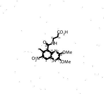 COc1nc2cc([N+](=O)[O-])c(C)c(C(=O)NCCC(=O)O)c2nc1OC